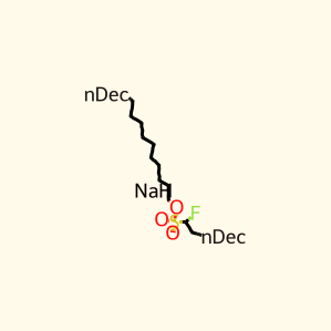 CCCCCCCCCCCCCCCCCCCCOS(=O)(=O)C(F)CCCCCCCCCCC.[NaH]